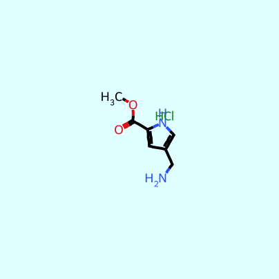 COC(=O)c1cc(CN)c[nH]1.Cl